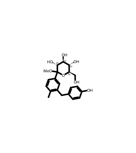 COC1(c2ccc(C)c(Cc3ccc(O)cc3)c2)O[C@H](CO)[C@@H](O)[C@H](O)[C@H]1O